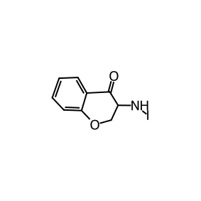 O=C1c2ccccc2OCC1NI